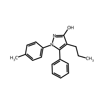 CCCc1c(O)nn(-c2ccc(C)cc2)c1-c1ccccc1